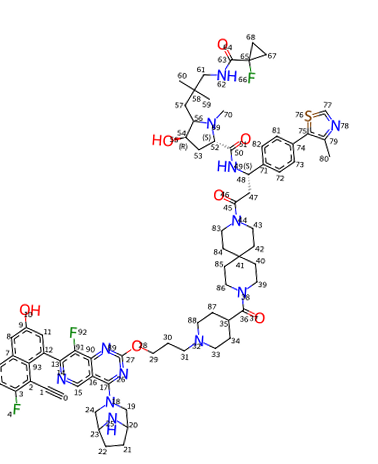 C#Cc1c(F)ccc2cc(O)cc(-c3ncc4c(N5CC6CCC(C5)N6)nc(OCCCN5CCC(C(=O)N6CCC7(CCN(C(=O)C[C@H](NC(=O)[C@@H]8C[C@@H](O)C(CC(C)(C)CNC(=O)C9(F)CC9)N8C)c8ccc(-c9scnc9C)cc8)CC7)CC6)CC5)nc4c3F)c12